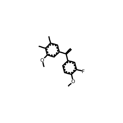 C=C(c1ccc(OC)c(F)c1)c1cc(C)c(C)c(OC)c1